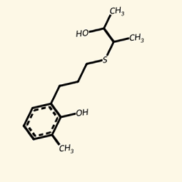 Cc1cccc(CCCSC(C)C(C)O)c1O